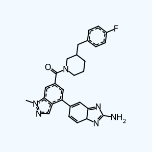 Cn1ncc2c(C3=CC4=NC(N)=NC4C=C3)cc(C(=O)N3CCCC(Cc4ccc(F)cc4)C3)cc21